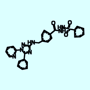 O=C(NNS(=O)(=O)c1ccccc1)c1ccc(CNc2nc(-c3ccccc3)n(-c3ccccn3)n2)cc1